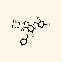 CC(C)N1CCn2c(Cc3ccc(Cl)cc3Br)nc(=O)c(OCc3ccccc3)c2C1=O